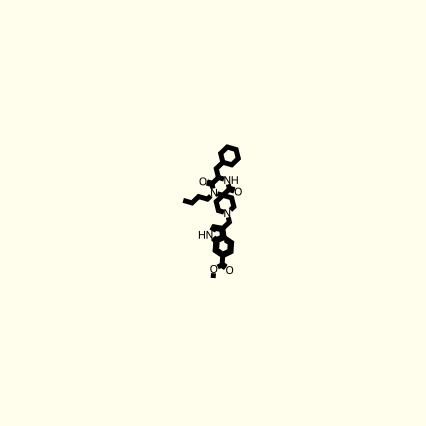 CCCCN1C(=O)C(CC2CCCCC2)NC(=O)C12CCN(Cc1c[nH]c3cc(C(=O)OC)ccc13)CC2